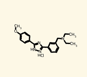 CCN(CC)Cc1cccc(-c2n[nH]c(-c3ccc(OC)cc3)n2)c1.Cl